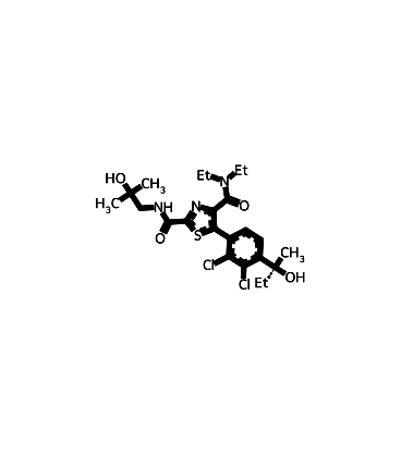 CCN(CC)C(=O)c1nc(C(=O)NCC(C)(C)O)sc1-c1ccc([C@@](C)(O)CC)c(Cl)c1Cl